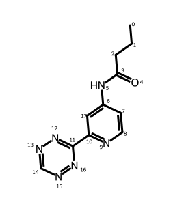 CCCC(=O)Nc1ccnc(-c2nncnn2)c1